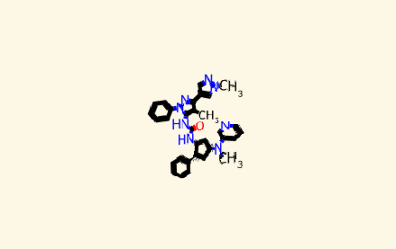 Cc1c(-c2cnn(C)c2)nn(-c2ccccc2)c1NC(=O)N[C@@H]1C[C@@H](N(C)c2cccnc2)C[C@H]1c1ccccc1